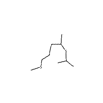 [CH2]C(CCCSC)SC(C)C